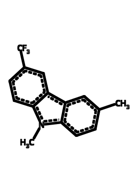 Cc1ccc2c(c1)c1cc(C(F)(F)F)ccc1n2C